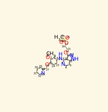 COc1cc(Nc2nccc3[nH]nc(OCCOS(C)(=O)=O)c23)ccc1OCc1ccccn1